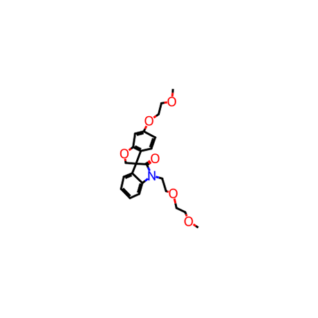 COCCOCCN1C(=O)C2(COc3cc(OCCOC)ccc32)c2ccccc21